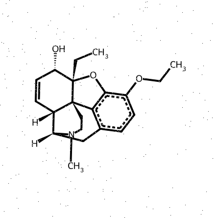 CCOc1ccc2c3c1O[C@@]1(CC)[C@@H](O)C=C[C@H]4[C@@H](C2)N(C)CC[C@@]341